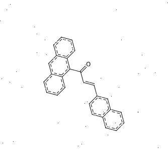 O=C(C=Cc1ccc2ccccc2c1)c1c2ccccc2cc2ccccc12